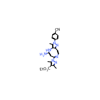 CCOC(=O)c1c(C)nn(-c2cc(N)[nH]c3c(C)n(-c4ccc(C#N)cc4)nc3ccn2)c1C